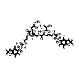 Cc1c(C)c(S(=O)(=O)NC(=N)NCCC[C@H](NC(=O)CNC(=O)[C@H](CCCNC(=N)NS(=O)(=O)c2c(C)c(C)c3c(c2C)CC(C)(C)O3)NC(=O)[C@@H](N)C(C)C)C(=O)NCC(=O)OC(C)(C)C)c(C)c2c1OC(C)(C)C2